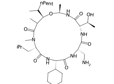 CCCCCC(C)[C@H]1O[C@@H](C)NC(=O)[C@H]([C@H](C)O)NC(=O)[C@H](CN)NC(=O)[C@H](C2CCCCC2)NC(=O)[C@H](CC(C)C)N(C)C(=O)C1C